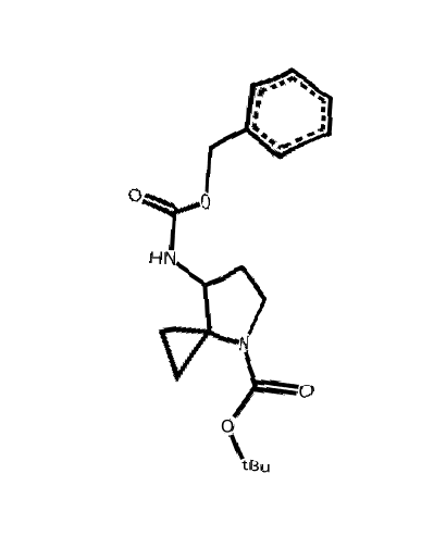 CC(C)(C)OC(=O)N1CCC(NC(=O)OCc2ccccc2)C12CC2